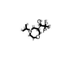 CC(C)N1CCOC[C@H](C(=O)C(F)(F)F)C1